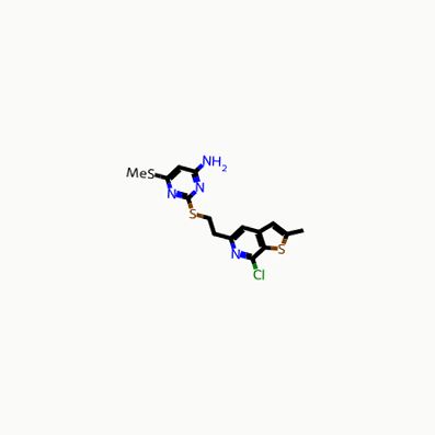 CSc1cc(N)nc(SCCc2cc3cc(C)sc3c(Cl)n2)n1